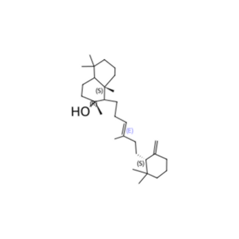 C=C1CCCC(C)(C)[C@@H]1CC/C(C)=C/CCC1[C@@]2(C)CCCC(C)(C)C2CC[C@@]1(C)O